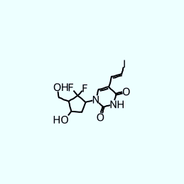 O=c1[nH]c(=O)n(C2CC(O)C(CO)C2(F)F)cc1C=CI